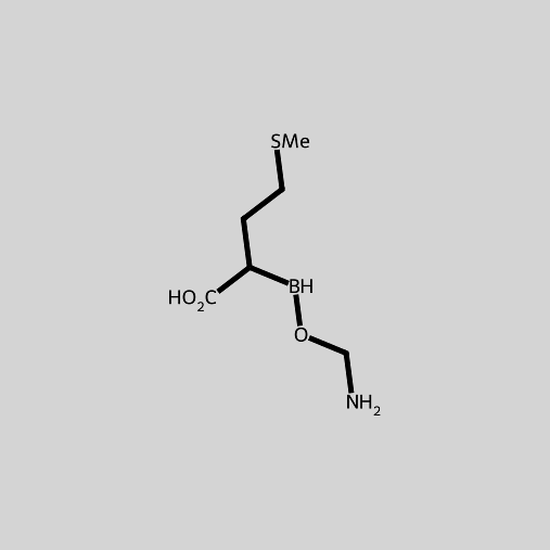 CSCCC(BOCN)C(=O)O